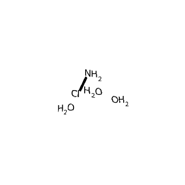 NCl.O.O.O